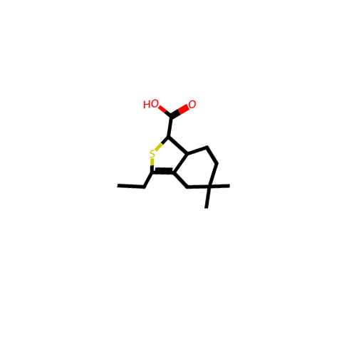 CCC1=C2CC(C)(C)CCC2C(C(=O)O)S1